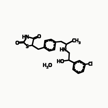 CC(Cc1ccc(CC2SC(=O)NC2=O)cc1)NCC(O)c1cccc(Cl)c1.O